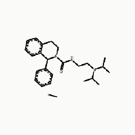 CC(C)N(CCNC(=O)N1CCc2ccccc2C1c1ccccc1)C(C)C.CI